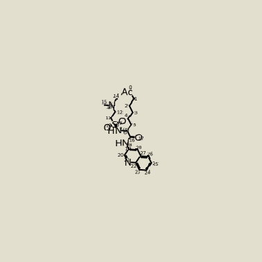 CC(=O)CCCCC[C@H](NS(=O)(=O)CCN(C)C)C(=O)Nc1cnc2ccccc2c1